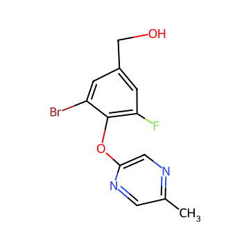 Cc1cnc(Oc2c(F)cc(CO)cc2Br)cn1